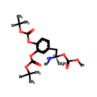 CCC(C)(C)OC(=O)Oc1ccc(C[C@](NC(C)C)(OC(=O)OC(C)C)C(=O)O)cc1OC(=O)OC(C)(C)CC